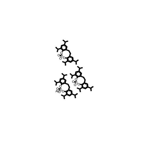 CC(C)c1cc2c(c(C(C)C)c1)OP(=O)([O-])Oc1c(cc(C(C)C)cc1C(C)C)CC2.CC(C)c1cc2c(c(C(C)C)c1)OP(=O)([O-])Oc1c(cc(C(C)C)cc1C(C)C)CC2.CC(C)c1cc2c(c(C(C)C)c1)OP(=O)([O-])Oc1c(cc(C(C)C)cc1C(C)C)CC2.[Al+3]